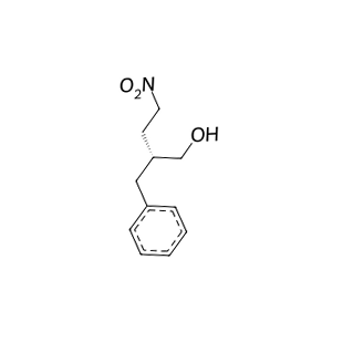 O=[N+]([O-])CC[C@H](CO)Cc1ccccc1